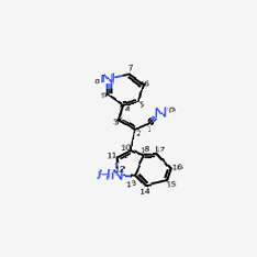 N#C/C(=C\c1cccnc1)c1c[nH]c2ccccc12